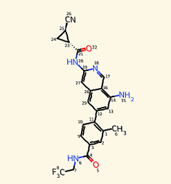 Cc1cc(C(=O)NCC(F)(F)F)ccc1-c1cc(N)c2cnc(NC(=O)[C@@H]3C[C@H]3C#N)cc2c1